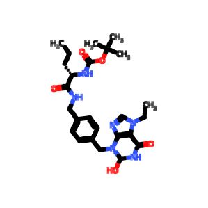 CCC[C@H](NC(=O)OC(C)(C)C)C(=O)NCc1ccc(CN2c3ncn(CC)c3C(=O)NC2O)cc1